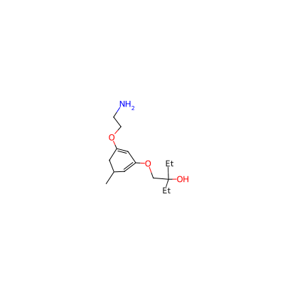 CCC(O)(CC)COC1=CC(C)CC(OCCN)=C1